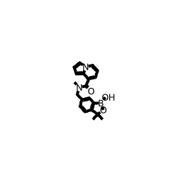 CN(Cc1ccc2c(c1)B(O)OC2(C)C)C(=O)c1cccn2cccc12